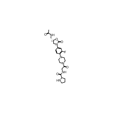 CC(=O)NC[C@H]1CN(c2ccc(N3CCN(C(=O)CNC(=O)C4CCCN4)CC3)c(F)c2)C(=O)O1